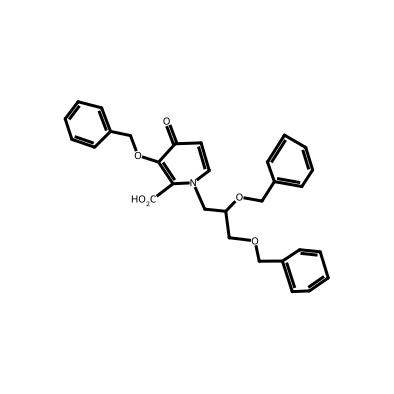 O=C(O)c1c(OCc2ccccc2)c(=O)ccn1CC(COCc1ccccc1)OCc1ccccc1